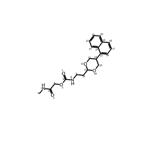 CNC(=O)COC(=O)NCCC1OCC(c2cccc3ccccc23)CO1